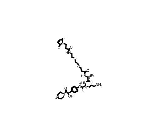 CC(C)[C@H](NC(=O)CCOCCOCCNC(=O)CCN1C(=O)C=CC1=O)C(=O)N[C@@H](CCCN)C(=O)Nc1ccc(C(O)C(=O)N2CCN(C)CC2)cc1